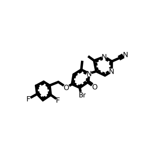 Cc1nc(C#N)ncc1-n1c(C)cc(OCc2ccc(F)cc2F)c(Br)c1=O